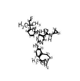 CC(C)(CF)c1cccc(Nc2nc(Nc3ccc4c(c3)CCNC4(C)C)ncc2C(=O)NC2CC2)n1